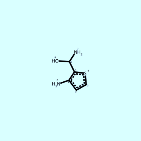 Nc1ccsc1C(N)O